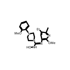 CCc1cc(N=C(NO)N2CCN(c3ccccc3OC)CC2)c(OC)nc1C